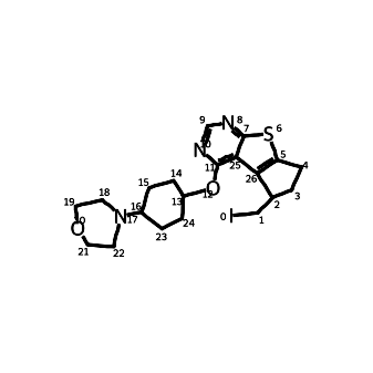 ICC1CCc2sc3ncnc(OC4CCC(N5CCOCC5)CC4)c3c21